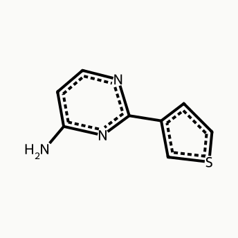 Nc1ccnc(-c2ccsc2)n1